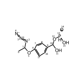 CC(N=[N+]=[N-])Oc1ccc(C(O)O[PH](=O)O)cc1